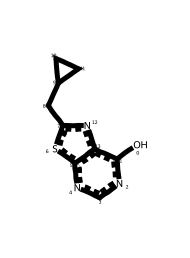 Oc1ncnc2sc(CC3CC3)nc12